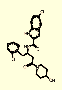 O=C(NC(CC(=O)N1CCC(O)CC1)Cc1ccccc1Cl)c1cc2cc(Cl)ccc2[nH]1